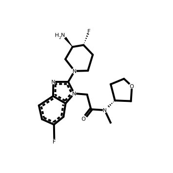 CN(C(=O)Cn1c(N2CC[C@@H](F)[C@H](N)C2)nc2ccc(F)cc21)[C@@H]1CCOC1